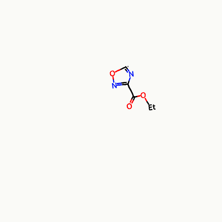 CCOC(=O)c1n[c]on1